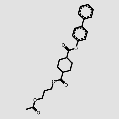 CC(=O)OCCCOC(=O)C1CCC(C(=O)Oc2ccc(-c3ccccc3)cc2)CC1